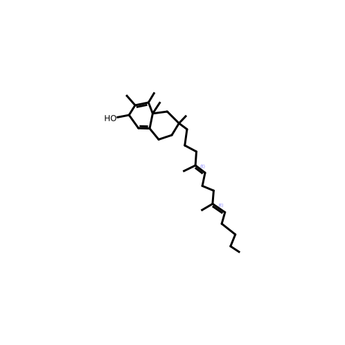 CCCC/C=C(\C)CC/C=C(\C)CCCC1(C)CCC2=CC(O)C(C)=C(C)C2(C)C1